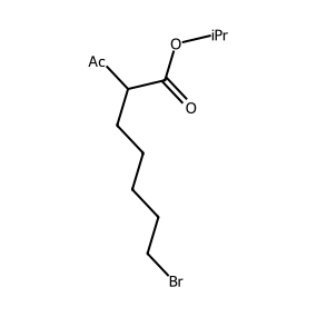 CC(=O)C(CCCCCBr)C(=O)OC(C)C